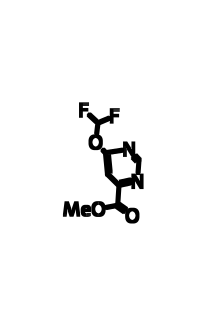 COC(=O)c1cc(OC(F)F)ncn1